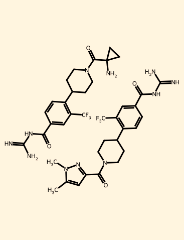 Cc1cc(C(=O)N2CCC(c3ccc(C(=O)NC(=N)N)cc3C(F)(F)F)CC2)nn1C.N=C(N)NC(=O)c1ccc(C2CCN(C(=O)C3(N)CC3)CC2)c(C(F)(F)F)c1